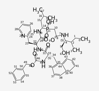 CCC(C)[C@@H](CO)NC(=O)CP(=O)(O)C(CC(C)C)NC(=O)[C@H](Cc1ccccn1)NC(=O)[C@H](Cc1cccc2ccccc12)NC(=O)OCc1ccccc1